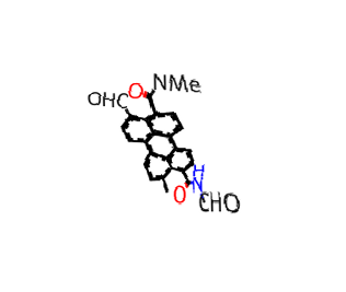 CNC(=O)c1ccc2c3ccc(C(=O)NC=O)c4c(C)ccc(c5ccc(C=O)c1c52)c43